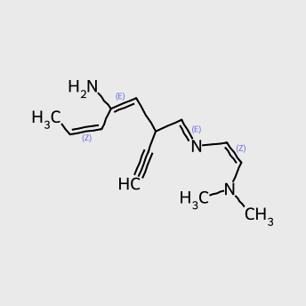 C#CC(/C=N/C=C\N(C)C)/C=C(N)\C=C/C